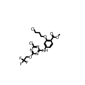 COC(=O)c1ccc(Nc2nc(Cl)nc(OCC(F)(F)F)n2)cc1OCCCCl